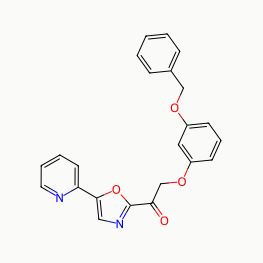 O=C(COc1cccc(OCc2ccccc2)c1)c1ncc(-c2ccccn2)o1